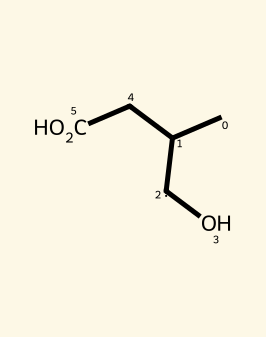 CC([CH]O)CC(=O)O